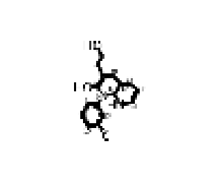 OCCC1=C(O)N(c2cccc(Cl)c2)C2NC=CC=C2C1